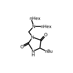 CCCCCCN(CCCCCC)CN1C(=O)NC(CCCC)C1=O